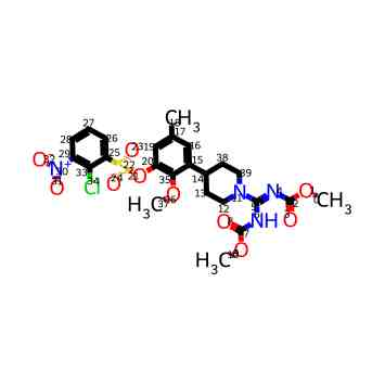 COC(=O)N=C(NC(=O)OC)N1CCC(c2cc(C)cc(OS(=O)(=O)c3cccc([N+](=O)[O-])c3Cl)c2OC)CC1